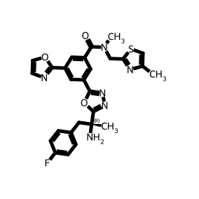 Cc1csc(CN(C)C(=O)c2cc(-c3ncco3)cc(-c3nnc([C@](C)(N)Cc4ccc(F)cc4)o3)c2)n1